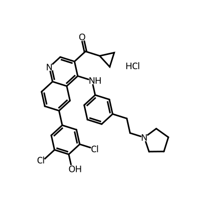 Cl.O=C(c1cnc2ccc(-c3cc(Cl)c(O)c(Cl)c3)cc2c1Nc1cccc(CCN2CCCC2)c1)C1CC1